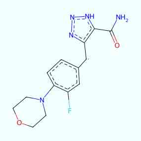 NC(=O)c1[nH]nnc1[CH]c1ccc(N2CCOCC2)c(F)c1